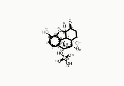 O=C1CC[C@@]2(O)[C@H]3Cc4ccc(O)c5c4[C@@]2(CCN3)[C@H]1O5.O=S(=O)(O)O